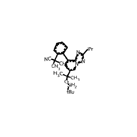 CC(C)c1nc2c(-c3ccccc3C(C)(C)C#N)cc(C(C)(C)O[SiH2]C(C)(C)C)cn2n1